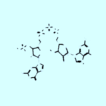 COC1C(O)[C@H](n2c[n+](C)c3c(O)nc(N)nc32)O[C@@H]1COP(=O)(O)OP(=O)(O)OP(=O)(O)OC[C@H]1O[C@@H](n2cnc3c(=O)[nH]c(N)nc32)[C@@H](O)C1OP(=O)(O)OC